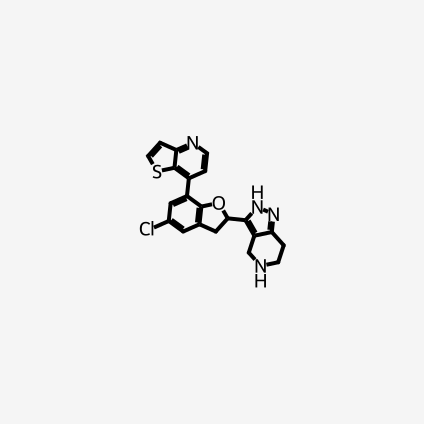 Clc1cc2c(c(-c3ccnc4ccsc34)c1)OC(c1[nH]nc3c1CNCC3)C2